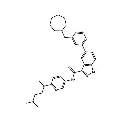 CN(C)CCN(C)c1ccc(NC(=O)c2n[nH]c3ccc(-c4cncc(CN5CCCCCC5)c4)cc23)cn1